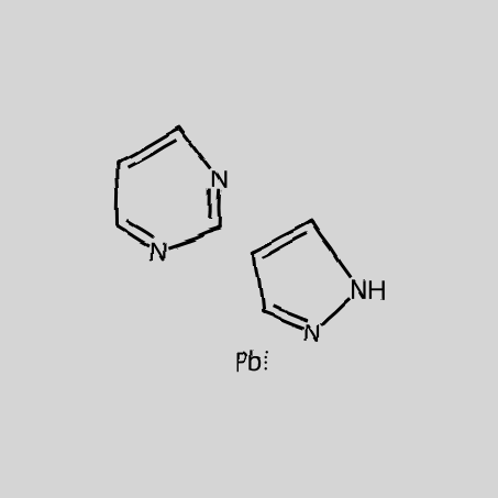 [Pb].c1cn[nH]c1.c1cncnc1